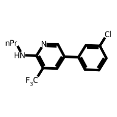 CCCNc1ncc(-c2cccc(Cl)c2)cc1C(F)(F)F